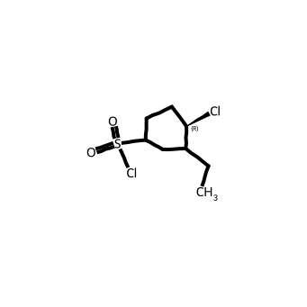 CCC1CC(S(=O)(=O)Cl)CC[C@H]1Cl